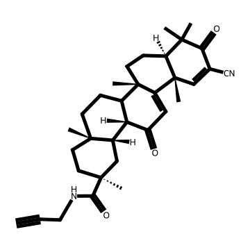 C#CCNC(=O)[C@@]1(C)CC[C@]2(C)CCC3[C@H](C(=O)C=C4[C@@]3(C)CC[C@H]3C(C)(C)C(=O)C(C#N)=C[C@]43C)[C@@H]2C1